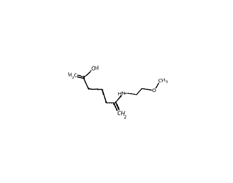 C=C(O)CCCC(=C)NCCOC